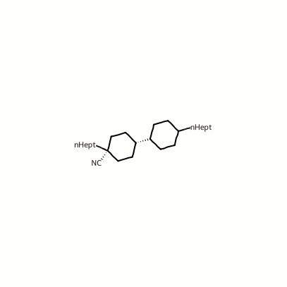 CCCCCCCC1CCC([C@H]2CC[C@](C#N)(CCCCCCC)CC2)CC1